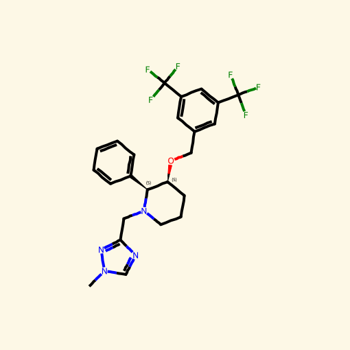 Cn1cnc(CN2CCC[C@H](OCc3cc(C(F)(F)F)cc(C(F)(F)F)c3)[C@@H]2c2ccccc2)n1